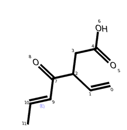 C=CC(CC(=O)O)C(=O)/C=C/C